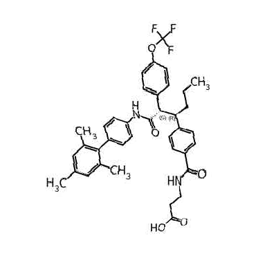 CCC[C@@H](c1ccc(C(=O)NCCC(=O)O)cc1)[C@H](C(=O)Nc1ccc(-c2c(C)cc(C)cc2C)cc1)c1ccc(OC(F)(F)F)cc1